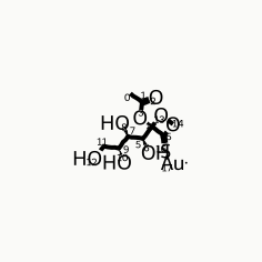 CC(=O)O[C@@]1([C@@H](O)[C@H](O)[C@H](O)CO)OOC1=S.[Au]